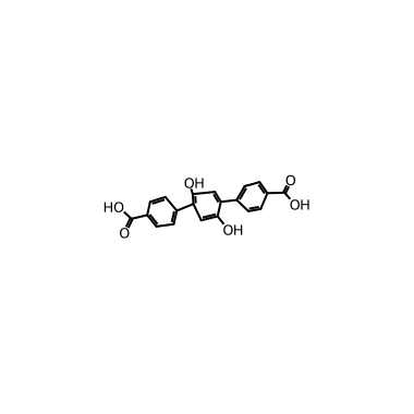 O=C(O)c1ccc(-c2cc(O)c(-c3ccc(C(=O)O)cc3)cc2O)cc1